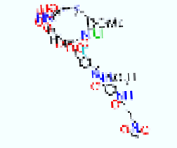 COc1cc2cc(c1Cl)N(C)C(=O)C[C@H](OC(=O)Cc1ccc(/C(C)=N/NC(=O)c3ccc(NC(=O)CCCCCN4C(=O)C=CC4=O)cc3S(=O)(=O)O)cc1F)[C@]1(C)O[C@H]1C[C@@H]1C[C@@](O)(NC(=O)O1)[C@H](O)/C=C/C=C(\C)C2